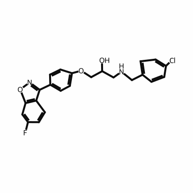 OC(CNCc1ccc(Cl)cc1)COc1ccc(-c2noc3cc(F)ccc23)cc1